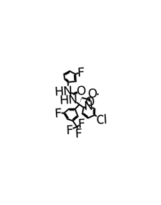 COC(=O)C[C@@](NC(=O)Nc1cccc(F)c1)(c1cc(F)cc(C(F)(F)F)c1)c1ccc(Cl)cn1